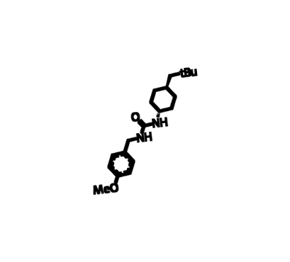 COc1ccc(CNC(=O)N[C@H]2CC[C@H](CC(C)(C)C)CC2)cc1